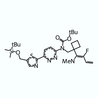 C=C/C(F)=C(\NC)C1(CN(C(=O)OC(C)(C)C)c2ccc(-c3ncc(CO[Si](C)(C)C(C)(C)C)s3)nn2)CCC1